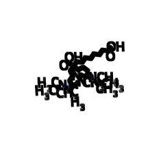 CC(C)(C)/N=N/C(C)(C#N)CCCC(CCCCCCCC(=O)O)(CCCC(C)(C#N)/N=N/C(C)(C)C)C(=O)O